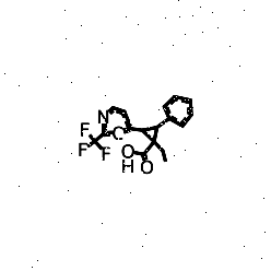 CCC1(C(=O)O)C(c2ccccc2)C1c1ccnc(C(F)(F)F)c1